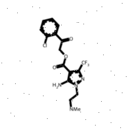 CNCCn1nc(C(F)(F)F)c(C(=O)OCC(=O)c2ccccc2Cl)c1N